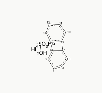 I.O=S(=O)(O)O.c1ccc2c(c1)-c1ccccc1-2